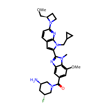 COC[C@H]1CCN1c1ccc2cc(-c3nc4cc(C(=O)N5C[C@H](N)C[C@@H](F)C5)cc(OC)c4n3C)n(CC3CC3)c2n1